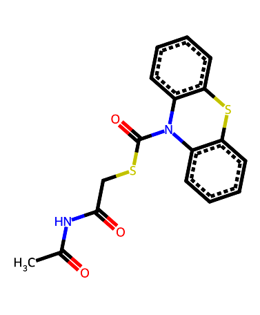 CC(=O)NC(=O)CSC(=O)N1c2ccccc2Sc2ccccc21